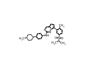 Cc1ccc(S(=O)(=O)N(C)C)cc1-c1ccc2cnc(Nc3ccc(N4CCN(C)CC4)cc3)nn12